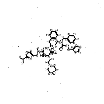 CC(C)c1nc(CN(C)C(=O)N[C@@H](CCN2CCOCC2)C(=O)N[C@@H](CCN(Cc2ccccc2)C(=O)OCc2cncs2)Cc2ccccc2)cs1